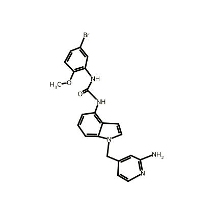 COc1ccc(Br)cc1NC(=O)Nc1cccc2c1ccn2Cc1ccnc(N)c1